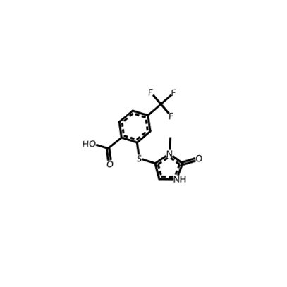 Cn1c(Sc2cc(C(F)(F)F)ccc2C(=O)O)c[nH]c1=O